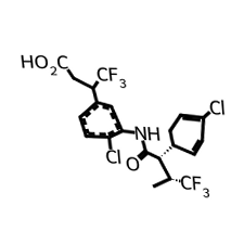 C[C@H]([C@H](C(=O)Nc1cc(C(CC(=O)O)C(F)(F)F)ccc1Cl)C1C=CC(Cl)=CC1)C(F)(F)F